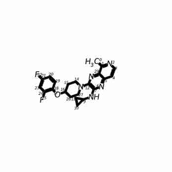 Cc1nccc2nc(NC3CC3)c(N3CCC(Oc4ccc(F)cc4F)CC3)nc12